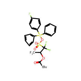 CC(C)(C)C(=O)OC(C(F)(F)F)C(F)(F)S(=O)(=O)OS(c1ccccc1)(c1ccccc1)c1ccc(F)cc1